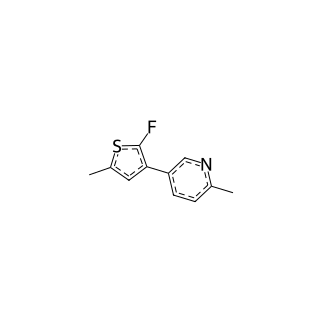 Cc1ccc(-c2cc(C)sc2F)cn1